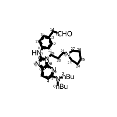 CCCCN(CCCC)c1ccc2nc(Nc3ccc(CC=O)cc3)n(CCCN3CCCCC3)c2n1